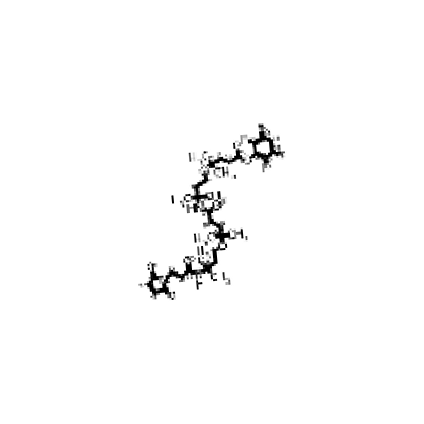 CC(C)(CCOC(C)(C)CCC(=O)NC(C)(C)CCOC(C)(C)CCC(=O)Oc1c(F)c(F)cc(F)c1F)NC(=O)CCN1C(=O)C=CC1=O